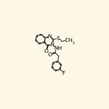 CCSc1nc2ccccc2c(=O)n1NC(=O)Cc1cccc(F)c1